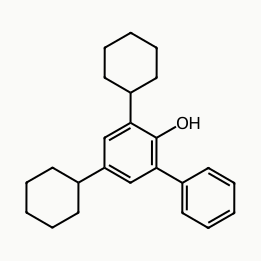 Oc1c(-c2ccccc2)cc(C2CCCCC2)cc1C1CCCCC1